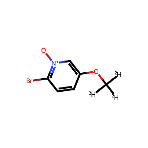 [2H]C([2H])([2H])Oc1ccc(Br)[n+]([O-])c1